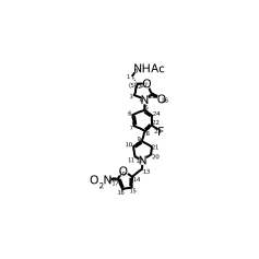 CC(=O)NC[C@H]1CN(c2ccc(C3=CCN(Cc4ccc([N+](=O)[O-])o4)CC3)c(F)c2)C(=O)O1